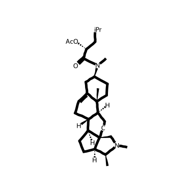 CC(=O)O[C@H](CC(C)C)C(=O)N(C)[C@H]1CC[C@@]2(C)C(=CC[C@H]3[C@@H]4CC[C@@H]5[C@H](C)N(C)C[C@@]54CC[C@@H]32)C1